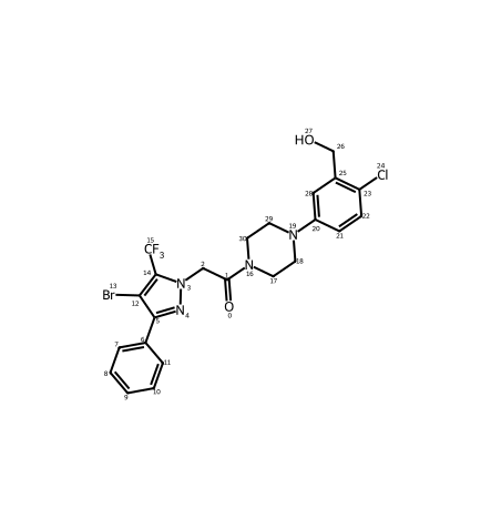 O=C(Cn1nc(-c2ccccc2)c(Br)c1C(F)(F)F)N1CCN(c2ccc(Cl)c(CO)c2)CC1